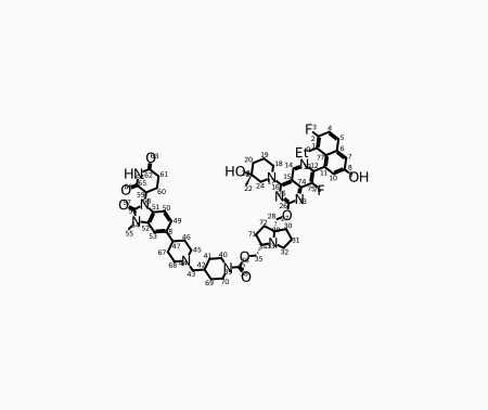 CCc1c(F)ccc2cc(O)cc(-c3ncc4c(N5CCC[C@@](C)(O)C5)nc(OC[C@]56CCCN5[C@H](COC(=O)N5CCC(CN7CCC(c8ccc9c(c8)n(C)c(=O)n9C8CCC(=O)NC8=O)CC7)CC5)CC6)nc4c3F)c12